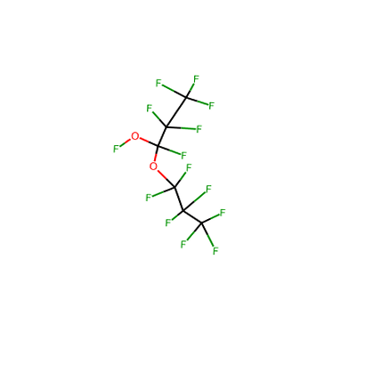 FOC(F)(OC(F)(F)C(F)(F)C(F)(F)F)C(F)(F)C(F)(F)F